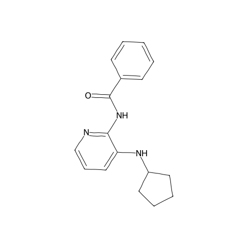 O=C(Nc1ncccc1NC1CCCC1)c1ccccc1